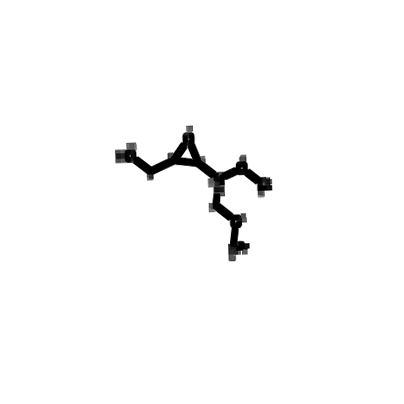 CCCOC[SiH](OCC)C1OC1CO